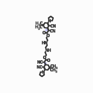 CC1(C)CC(N2CCCC2)=C(C#N)/C(=C(\C#N)C(=O)OCCNCCNCCOC(=O)/C(C#N)=C2\CC(C)(C)CC(N3CCCC3)=C2C#N)C1